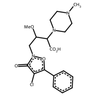 COC(Cn1oc(-c2ccccc2)c(Cl)c1=O)C(C(=O)O)N1CCN(C)CC1